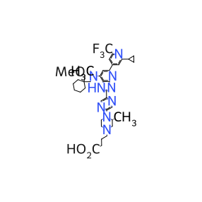 COCC1(CN(C)c2cc(-c3cc(C4CC4)nc(C(F)(F)F)c3)nc3nc(-c4cnc(N5CCN(CCCC(=O)O)C[C@H]5C)cn4)[nH]c23)CCCCC1